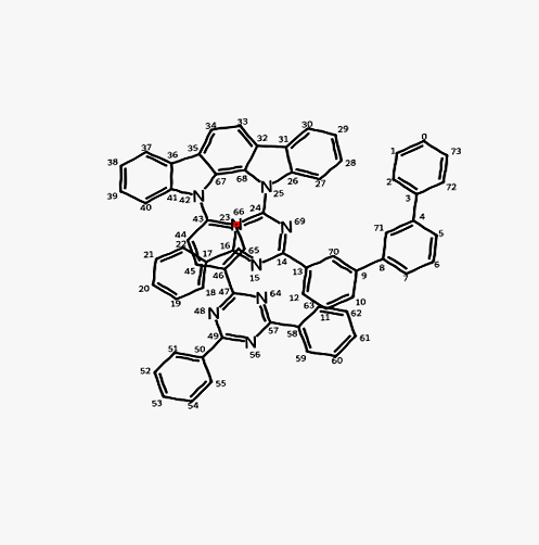 c1ccc(-c2cccc(-c3cccc(-c4nc(-c5ccccc5)nc(-n5c6ccccc6c6ccc7c8ccccc8n(-c8ccc(-c9nc(-c%10ccccc%10)nc(-c%10ccccc%10)n9)cc8)c7c65)n4)c3)c2)cc1